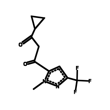 Cn1nc(C(F)(F)F)cc1C(=O)CC(=O)C1CC1